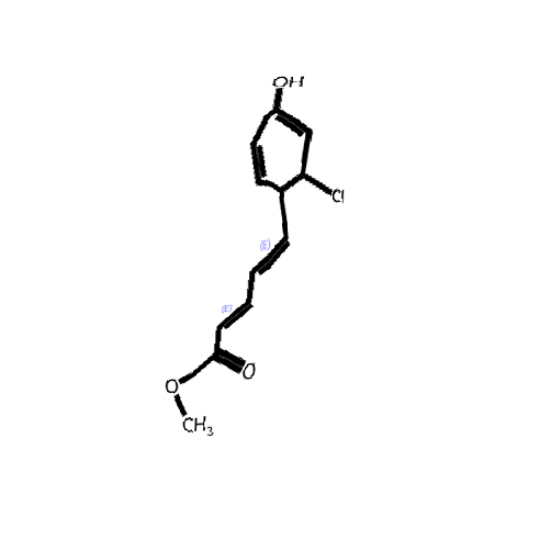 COC(=O)/C=C/C=C/C1C=CC(O)=CC1Cl